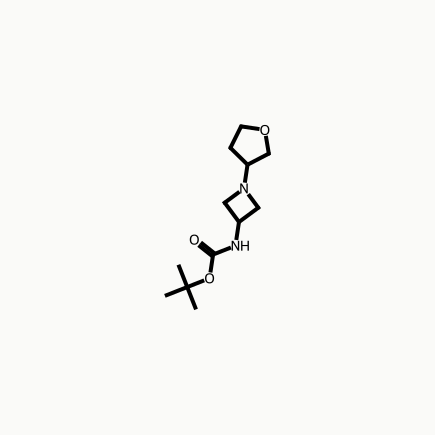 CC(C)(C)OC(=O)NC1CN(C2CCOC2)C1